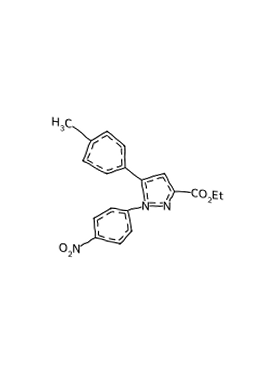 CCOC(=O)c1cc(-c2ccc(C)cc2)n(-c2ccc([N+](=O)[O-])cc2)n1